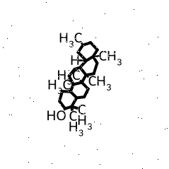 C[C@H]1CC[C@]2(C)CC[C@@]3(C)C(CCC4[C@@]5(C)CC[C@H](O)C(C)(C)C5CC[C@]43C)[C@@H]2C1